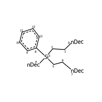 CCCCCCCCCCCC[Si](CCCCCCCCCC)(CCCCCCCCCCCC)c1ccccc1